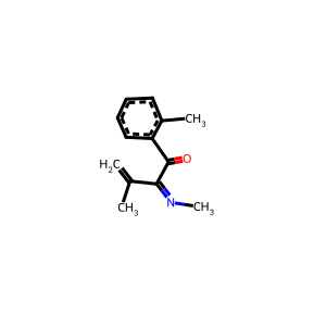 C=C(C)/C(=N/C)C(=O)c1ccccc1C